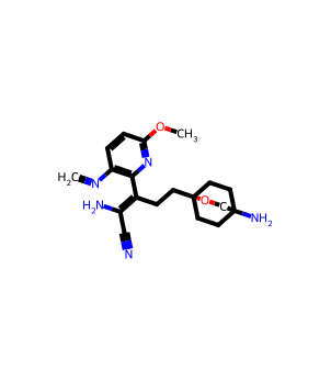 C=Nc1ccc(OC)nc1/C(CCC12CCC(N)(CC1)CO2)=C(\N)C#N